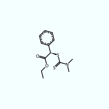 CCOC(=O)[C@H](SC(=S)N(C)C)c1ccccc1